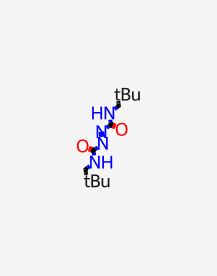 CC(C)(C)CNC(=O)N=NC(=O)NCC(C)(C)C